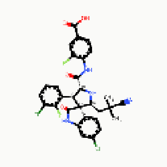 CC(C)(C#N)C[C@@H]1N[C@@H](C(=O)Nc2ccc(C(=O)O)cc2F)[C@H](c2cccc(Cl)c2F)[C@]12C(=O)Nc1cc(Cl)ccc12